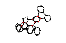 c1ccc(-c2ccccc2-n2c(-c3ccccc3)nnc2-c2ccc(-c3ccccc3-c3ccccc3-c3ccc(N(c4ccccc4)c4ccccc4)cc3)cc2)cc1